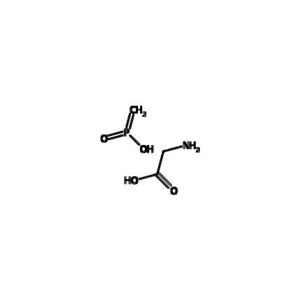 C=P(=O)O.NCC(=O)O